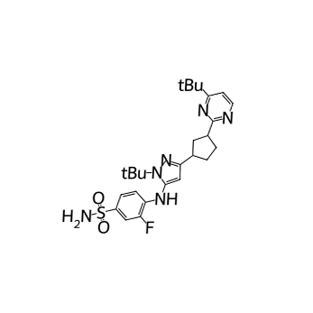 CC(C)(C)c1ccnc(C2CCC(c3cc(Nc4ccc(S(N)(=O)=O)cc4F)n(C(C)(C)C)n3)C2)n1